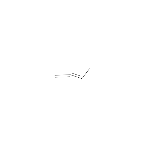 [C]C=C=C